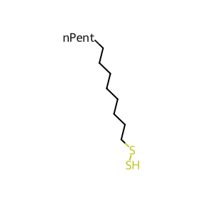 CCCCCCCCCCCCCSS